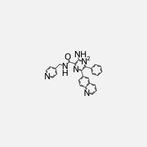 Nc1nc(-c2ccccc2)c(-c2ccc3ncccc3c2)nc1C(=O)NCc1ccncc1